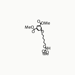 COC(=O)c1cc(OCCCCCCONC(=O)OC(C)(C)C)cc(C(=O)OC)c1